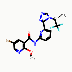 COc1ncc(Br)cc1C(=O)Nc1cccc(-c2nncn2[C@H](C)C(F)(F)F)n1